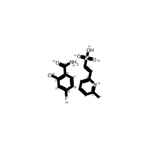 Cc1cccc(/C=C/S(=O)(=O)O)n1.NC(=O)c1ccc(F)cc1Cl